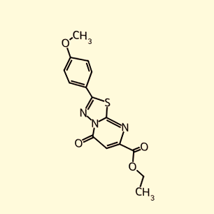 CCOC(=O)c1cc(=O)n2nc(-c3ccc(OC)cc3)sc2n1